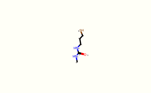 CNC(=O)NCCCS